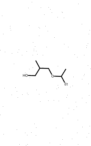 CCC(C)OCC(C)CO